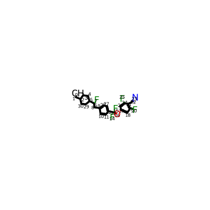 CCC1CCC(C(F)Cc2ccc(C(F)(F)Oc3cc(F)c(C#N)c(F)c3)cc2)CC1